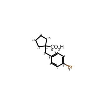 O=C(O)C1(Cc2ccc(Br)cc2)CCCC1